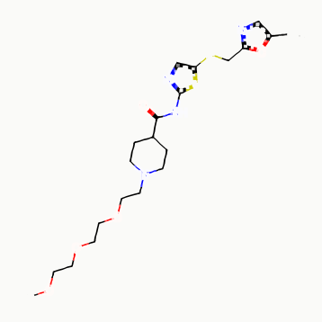 CCCOCCOCCOCCN1CCC(C(=O)Nc2ncc(SCc3ncc(C(C)(C)C)o3)s2)CC1